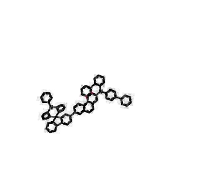 c1ccc(-c2ccc(N(c3ccc4c(ccc5cc(-c6ccc7c(c6)C6(c8ccccc8-7)c7ccccc7N(c7ccccc7)c7ccccc76)ccc54)c3)c3ccccc3-c3ccccc3)cc2)cc1